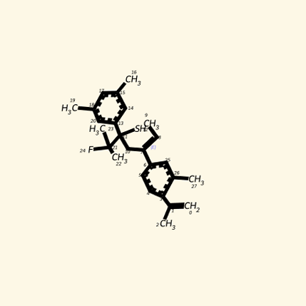 C=C(C)c1ccc(/C(=C/C)CC(S)(c2cc(C)cc(C)c2)C(C)(C)F)cc1C